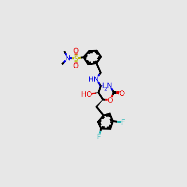 CN(C)S(=O)(=O)c1cccc(CNC[C@H](O)[C@H](Cc2cc(F)cc(F)c2)OC(N)=O)c1